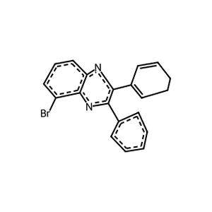 Brc1cccc2nc(C3=CCCC=C3)c(-c3ccccc3)nc12